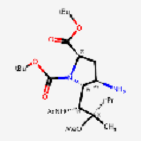 CCC[C@](C)(OC)[C@H](NC(C)=O)[C@H]1[C@H](N)C[C@H](C(=O)OC(C)(C)C)N1C(=O)OC(C)(C)C